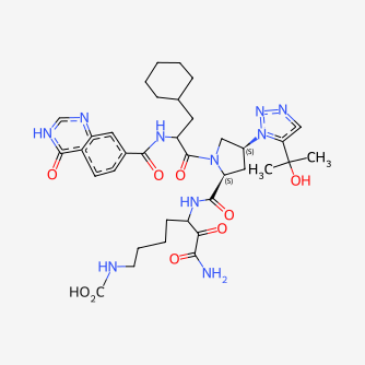 CC(C)(O)c1cnnn1[C@H]1C[C@@H](C(=O)NC(CCCCNC(=O)O)C(=O)C(N)=O)N(C(=O)C(CC2CCCCC2)NC(=O)c2ccc3c(=O)[nH]cnc3c2)C1